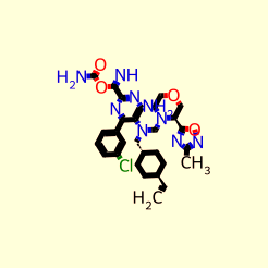 C=C[C@H]1CC[C@H](CN(CN2CCOC[C@H]2c2nc(C)no2)c2c(N)nc(C(=N)OC(N)=O)nc2-c2cccc(Cl)c2)CC1